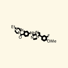 CCN1CCN(C(=O)c2ccc(Nc3nccn4c(-c5ccc(OC)c(F)c5)cnc34)cc2Br)CC1